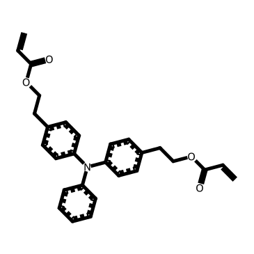 C=CC(=O)OCCc1ccc(N(c2ccccc2)c2ccc(CCOC(=O)C=C)cc2)cc1